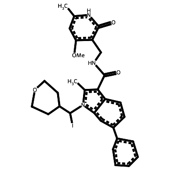 COc1cc(C)[nH]c(=O)c1CNC(=O)c1c(C)n(C(I)C2CCOCC2)c2cc(-c3ccccc3)ccc12